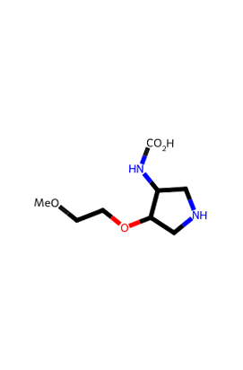 COCCOC1CNCC1NC(=O)O